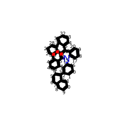 c1cc(-c2cccc3ccccc23)cc(N(c2ccccc2-c2cc3ccccc3c3ccccc23)c2cccc3ccccc23)c1